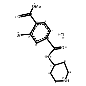 COC(=O)c1ccc(C(=O)NC2CCNCC2)cc1Br.Cl